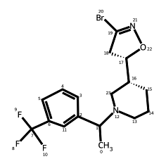 CC(c1cccc(C(F)(F)F)c1)N1CCC[C@@H]([C@@H]2CC(Br)=NO2)C1